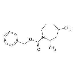 CC1CCCN(C(=O)OCc2ccccc2)C(C)C1